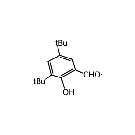 CC(C)(C)c1cc([C]=O)c(O)c(C(C)(C)C)c1